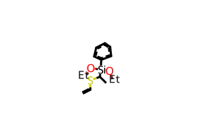 C=CSC(C)[Si](OCC)(OCC)c1ccccc1